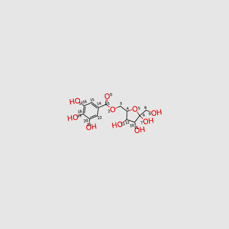 O=C(OCC1OC(O)(CO)C(O)C1O)c1cc(O)c(O)c(O)c1